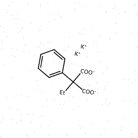 CCC(C(=O)[O-])(C(=O)[O-])c1ccccc1.[K+].[K+]